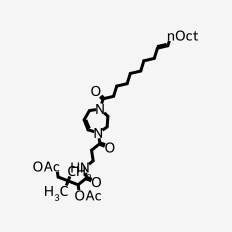 CCCCCCCCC=CCCCCCCCC(=O)N1CC=CN(C(=O)CCNC(=O)C(OC(C)=O)C(C)(C)COC(C)=O)CC1